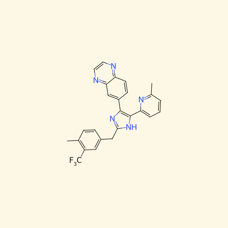 Cc1cccc(-c2[nH]c(Cc3ccc(C)c(C(F)(F)F)c3)nc2-c2ccc3nccnc3c2)n1